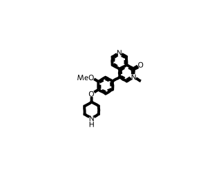 COc1cc(-c2cn(C)c(=O)c3cnccc23)ccc1OC1CCNCC1